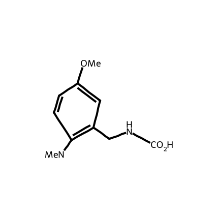 CNc1ccc(OC)cc1CNC(=O)O